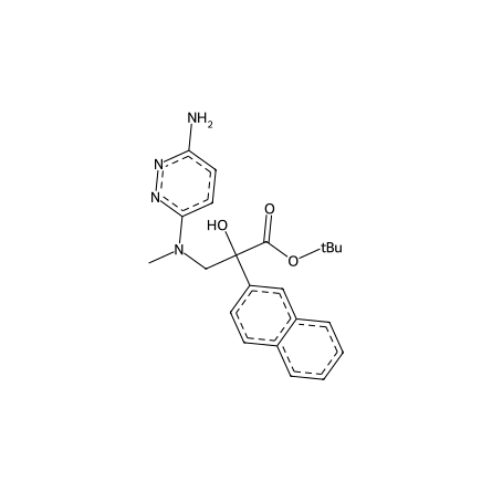 CN(CC(O)(C(=O)OC(C)(C)C)c1ccc2ccccc2c1)c1ccc(N)nn1